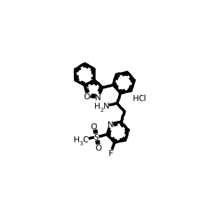 CS(=O)(=O)c1nc(CC(N)c2ccccc2-c2noc3ccccc23)ccc1F.Cl